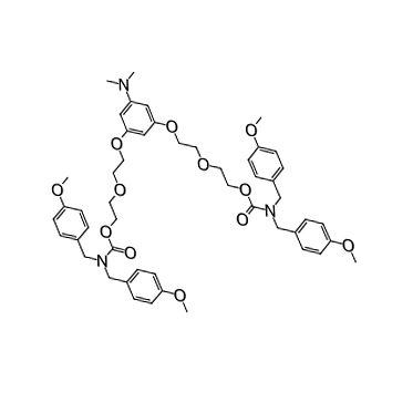 COc1ccc(CN(Cc2ccc(OC)cc2)C(=O)OCCOCCOc2cc(OCCOCCOC(=O)N(Cc3ccc(OC)cc3)Cc3ccc(OC)cc3)cc(N(C)C)c2)cc1